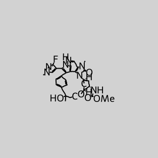 COC(=O)N[C@H]1C[C@H]2C[C@H]1OCCC(C)(O)c1ccc(cc1)-c1c(-c3cn(C)nc3F)[nH]c3ncc4c(c13)n2c(=O)n4C